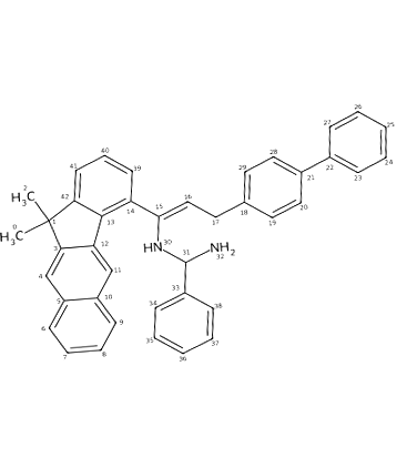 CC1(C)c2cc3ccccc3cc2-c2c(/C(=C/Cc3ccc(-c4ccccc4)cc3)NC(N)c3ccccc3)cccc21